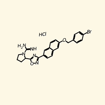 Cl.N=C(N)N1CCCC1c1nc(-c2ccc3cc(OCc4ccc(Br)cc4)ccc3c2)no1